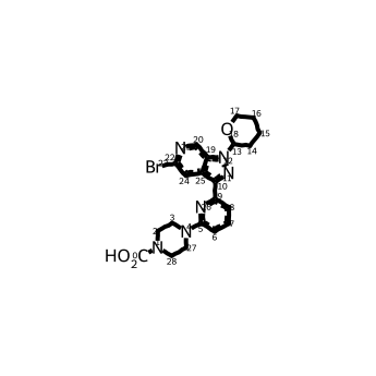 O=C(O)N1CCN(c2cccc(-c3nn(C4CCCCO4)c4cnc(Br)cc34)n2)CC1